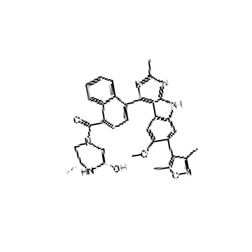 COc1cc2c(cc1-c1c(C)noc1C)[nH]c1nc(C)nc(-c3ccc(C(=O)N4C[C@@H](C)N[C@@H](O)C4)c4ccccc34)c12